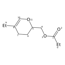 CCC(=O)OCC1CCC(CC)=CO1